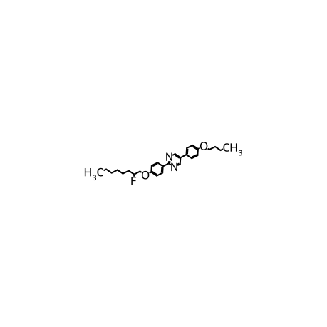 CCCCCCC(F)COc1ccc(-c2ncc(-c3ccc(OCCCC)cc3)cn2)cc1